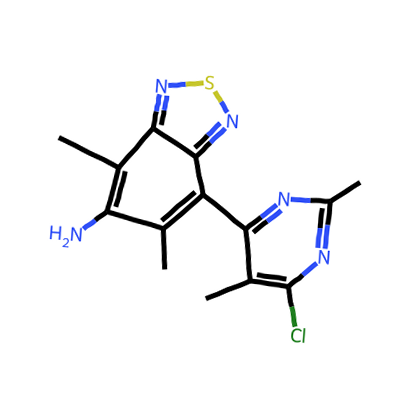 Cc1nc(Cl)c(C)c(-c2c(C)c(N)c(C)c3nsnc23)n1